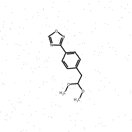 COC(Cc1ccc(-c2n[c]on2)cc1)OC